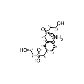 Nc1ccc(CS(=O)(=O)CCO)cc1CS(=O)(=O)CCO